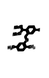 COC(OC)c1ccc(I)cc1COc1cc(C)ccc1C